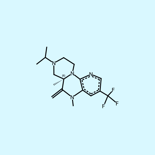 C=C1N(C)c2cc(C(F)(F)F)cnc2N2CCN(C(C)C)C[C@]12C